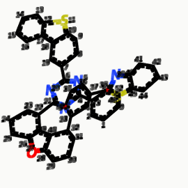 c1ccc(-c2nc(-c3ccc4sc5ccccc5c4c3)nc(-c3cccc4oc5cccc(-c6cccc(-c7nc8ccccc8s7)c6)c5c34)n2)cc1